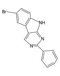 Brc1ccc2[nH]c3nc(-c4ccccc4)ncc3c2c1